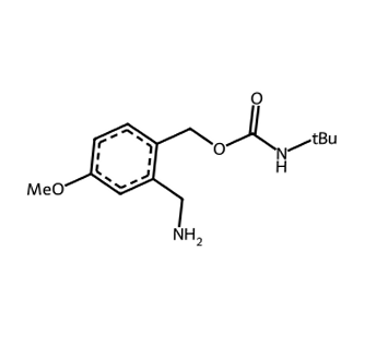 COc1ccc(COC(=O)NC(C)(C)C)c(CN)c1